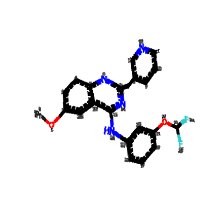 CC(C)Oc1ccc2nc(-c3cccnc3)nc(Nc3cccc(OC(F)F)c3)c2c1